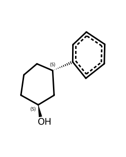 O[C@H]1CCC[C@H](c2ccccc2)C1